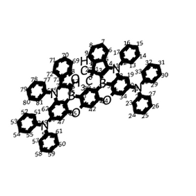 CC1(C)C2=C(c3ccccc31)N(c1ccccc1)c1cc(N(c3ccccc3)c3ccccc3)cc3c1B2c1cc2c(cc1O3)Oc1cc(N(c3ccccc3)c3ccccc3)cc3c1B2c1oc2ccccc2c1N3c1ccccc1